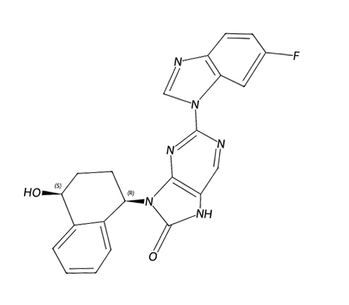 O=c1[nH]c2cnc(-n3cnc4ccc(F)cc43)nc2n1[C@@H]1CC[C@H](O)c2ccccc21